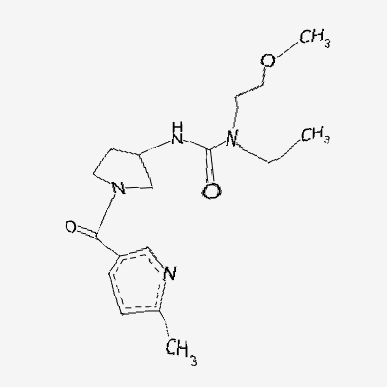 CCN(CCOC)C(=O)NC1CCN(C(=O)c2ccc(C)nc2)C1